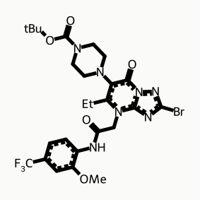 CCc1c(N2CCN(C(=O)OC(C)(C)C)CC2)c(=O)n2nc(Br)nc2n1CC(=O)Nc1ccc(C(F)(F)F)cc1OC